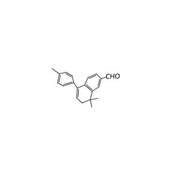 Cc1ccc(C2=CCC(C)(C)c3cc(C=O)ccc32)cc1